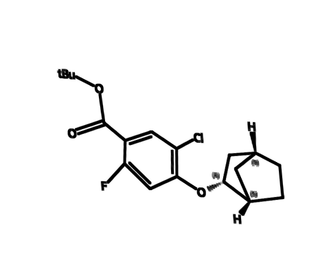 CC(C)(C)OC(=O)c1cc(Cl)c(O[C@@H]2C[C@@H]3CC[C@H]2C3)cc1F